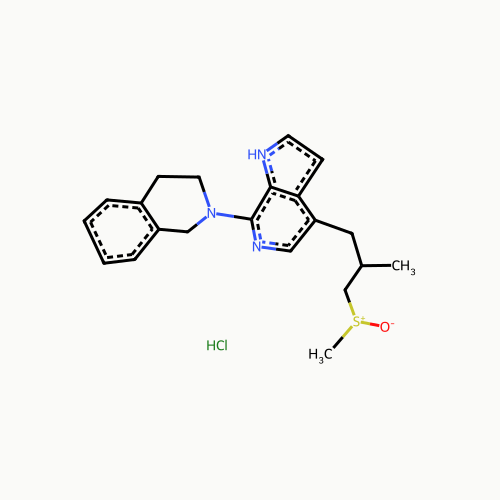 CC(Cc1cnc(N2CCc3ccccc3C2)c2[nH]ccc12)C[S+](C)[O-].Cl